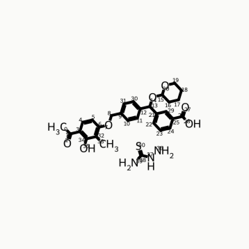 CC(=O)c1ccc(OCc2ccc(C(OC3CCCCO3)c3cccc(C(=O)O)c3)cc2)c(C)c1O.NNC(N)=S